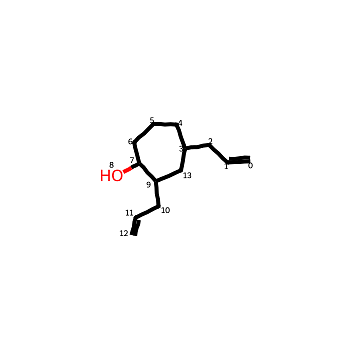 C=CCC1CCCC(O)C(CC=C)C1